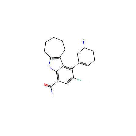 Cl.NC(=O)c1cc(F)c(C2=CCC[C@H](N)C2)c2c3c([nH]c12)CCCCC3